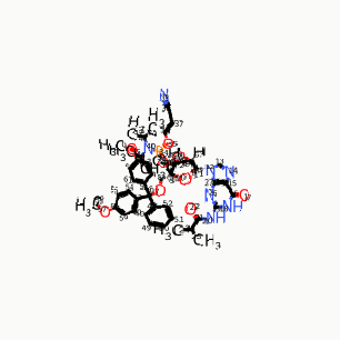 COc1ccc(C(OC[C@]23O[C@@H](n4cnc5c(=O)[nH]c(NC(=O)C(C)C)nc54)[C@H](O[C@@H]2C)[C@@H]3OP(OCCC#N)N(C(C)C)C(C)C)(c2ccccc2)c2ccc(OC)cc2)cc1